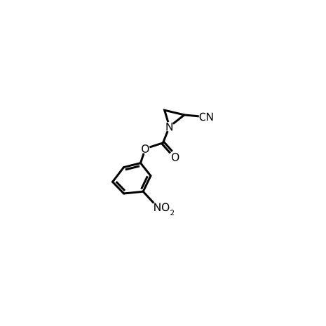 N#CC1CN1C(=O)Oc1cccc([N+](=O)[O-])c1